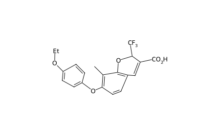 CCOc1ccc(Oc2ccc3c(c2C)OC(C(F)(F)F)C(C(=O)O)=C3)cc1